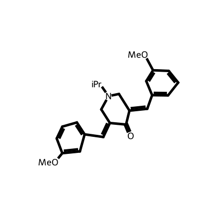 COc1cccc(/C=C2\CN(C(C)C)C/C(=C\c3cccc(OC)c3)C2=O)c1